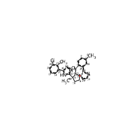 Cc1ccc(C(=O)N2CCC[C@@]2(C)c2nnc(-c3cccc(Cl)c3C)[nH]2)c(-n2nccn2)c1